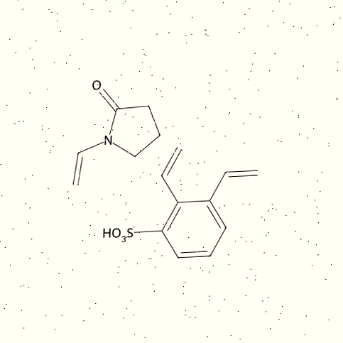 C=CN1CCCC1=O.C=Cc1cccc(S(=O)(=O)O)c1C=C